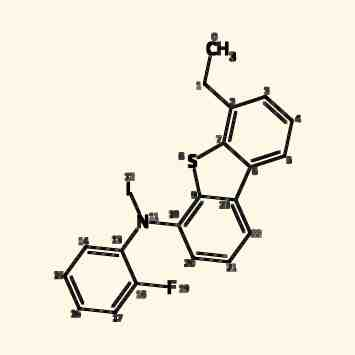 CCc1cccc2c1sc1c(N(I)c3ccccc3F)cccc12